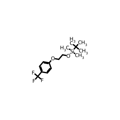 CC(C)(C)[Si](C)(C)OCCOc1ccc(C(F)(F)F)cc1